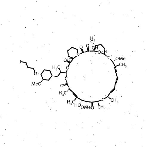 CO[C@H]1C[C@@H]2CC[C@@H](C)[C@@](O)(O2)C(=O)C(=O)N2CCCC[C@H]2C(=O)O[C@H]([C@H](C)C[C@@H]2CC[C@@H](OCCCI)[C@H](OC)C2)CC(=O)[C@H](C)/C=C(\C)[C@@H](O)[C@@H](OC)C(=O)[C@H](C)C[C@H](C)/C=C/C=C/C=C/1C